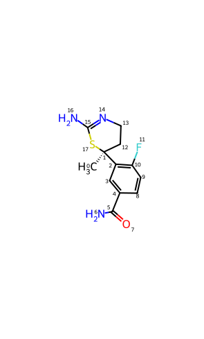 C[C@@]1(c2cc(C(N)=O)ccc2F)CCN=C(N)S1